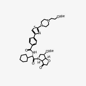 COCCN1CCN(c2nc(-c3ccc(C(=O)N[C@H](C(=O)N4C[C@@H](OC)[C@H]5OCC(=O)[C@H]54)C4CCCCC4)cc3)cs2)CC1